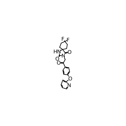 O=C(CN1C(=O)NC2(CCC(F)(F)CC2)C1=O)c1ccc(Oc2ccccn2)cc1